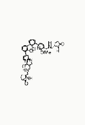 COc1nc(-c2cccc(-c3cccc(-c4ccn5c(=O)c(CNCC67CCC(C6)C(=O)N7)cnc5c4)c3Cl)c2Cl)ccc1CNC[C@@H]1CCC(=O)N1